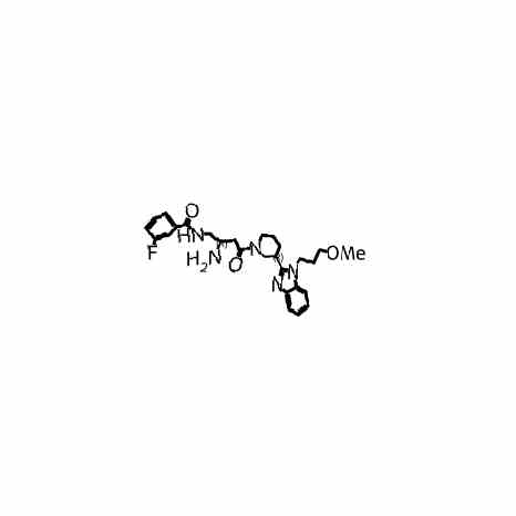 COCCCn1c([C@@H]2CCCN(C(=O)C[C@@H](N)CNC(=O)c3cccc(F)c3)C2)nc2ccccc21